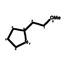 COCCC1CCC[N]1